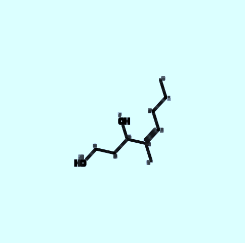 CCCC=C(C)C(O)CCO